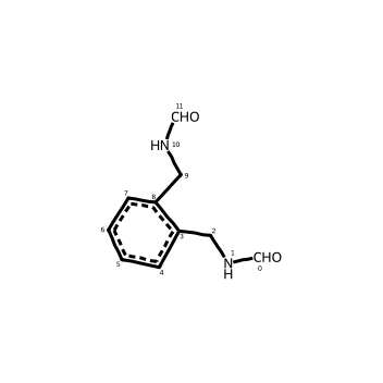 O=CNCc1ccccc1CNC=O